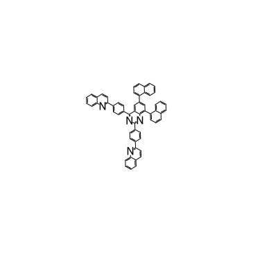 c1ccc2nc(-c3ccc(-c4nc(-c5ccc(-c6ccc7ccccc7n6)cc5)c5cc(-c6cccc7ccccc67)cc(-c6cccc7ccccc67)c5n4)cc3)ccc2c1